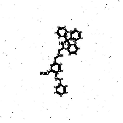 COc1cc(CNCCNC(c2ccccc2)(c2ccccc2)c2ccccc2)ccc1OCc1ccccc1